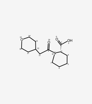 O=C(O)[C@@H]1CCCCN1C(=O)CC1CCOCC1